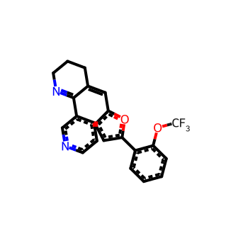 FC(F)(F)Oc1ccccc1-c1ccc(/C=C2/CCCN=C2c2cccnc2)o1